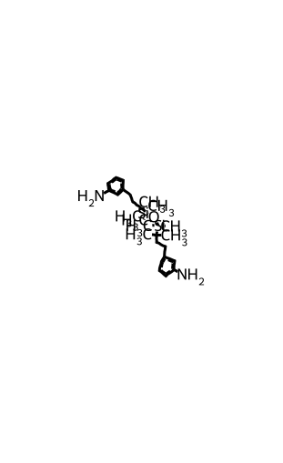 CC(C)(CCc1cccc(N)c1)[Si](C)(C)O[Si](C)(C)C(C)(C)CCc1cccc(N)c1